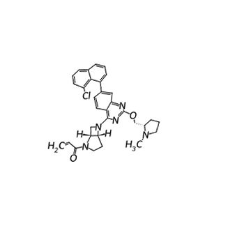 C=CC(=O)N1CC[C@@H]2[C@H]1CN2c1nc(OC[C@@H]2CCCN2C)nc2cc(-c3cccc4cccc(Cl)c34)ccc12